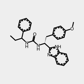 CCC(NC(=O)N[C@H](Cc1ccc(OC)cc1)c1nc2ccccc2[nH]1)c1ccccc1